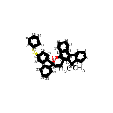 CC1(C)c2ccccc2-c2c1c1c(c3ccccc23)OC(c2ccccc2)(c2ccc(Sc3ccccc3)cc2)C=C1